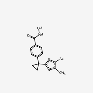 CC(=O)c1sc(C2(c3ccc(C(=O)NO)cc3)CC2)nc1C